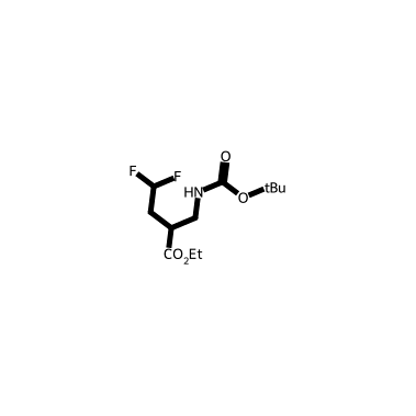 CCOC(=O)C(CNC(=O)OC(C)(C)C)CC(F)F